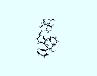 CC/C(=C(\c1ccccc1)c1ccc(OCCN(C)C(CC)(CC)CF)cc1)c1ccccc1